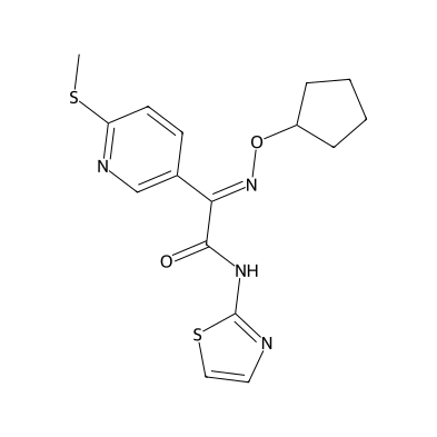 CSc1ccc(/C(=N\OC2CCCC2)C(=O)Nc2nccs2)cn1